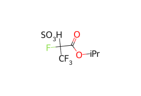 CC(C)OC(=O)C(F)(C(F)(F)F)S(=O)(=O)O